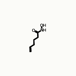 C=CCCCC(=O)NO